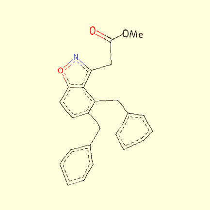 COC(=O)Cc1noc2ccc(Cc3ccccc3)c(Cc3ccccc3)c12